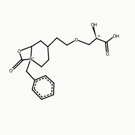 O=C(O)[C@H](O)COCCC1CC[N+]2(Cc3ccccc3)C(=O)OC2C1